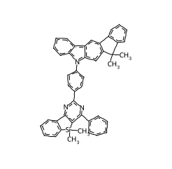 CC1(C)c2ccccc2-c2cc3c4ccccc4n(-c4ccc(-c5nc(-c6ccccc6)c6c(n5)-c5ccccc5[Si]6(C)C)cc4)c3cc21